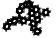 C1=CC2Oc3ccc(-n4c5cc(N(c6ccc7c(c6)oc6ccncc67)c6ccccc6-c6ccccc6N(c6ccccc6)c6ccc7c(c6)oc6ccncc67)ccc5c5cc6c(cc54)oc4ccccc46)cc3C2C=N1